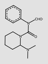 CN(C)C1CCCCN1C(=O)N([C]=O)c1ccccc1